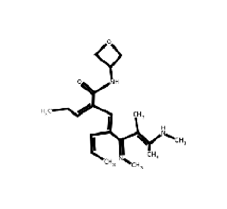 C\C=C/C(=C\C(=C\CC)C(=O)NC1COC1)C(=N/C)/C(C)=C(\C)NC